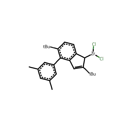 CCC(C)C1=Cc2c(ccc(C(C)(C)C)c2-c2cc(C)cc(C)c2)[CH]1[Zr]([Cl])[Cl]